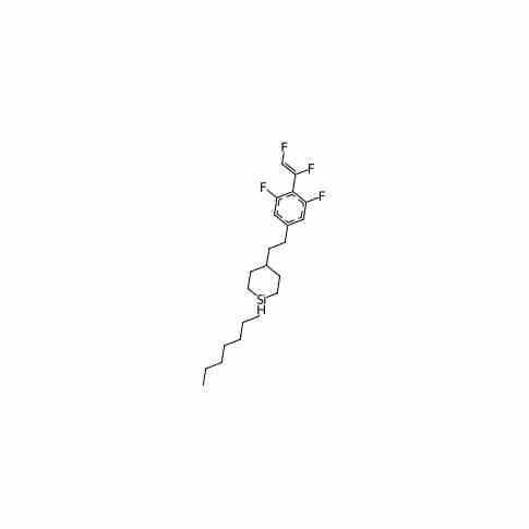 CCCCCCC[SiH]1CCC(CCc2cc(F)c(C(F)=CF)c(F)c2)CC1